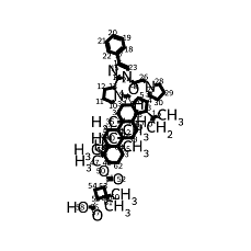 C=C(C)[C@@H]1CC[C@]2(C(=O)N3CCC[C@H]3c3nc(-c4ccccc4)cn3CCN3CCCC3)CC[C@]3(C)[C@H](CC[C@@]4(C)[C@@]3(C)CC[C@H]3C(C)(C)[C@@H](OC(=O)[C@H]5C[C@@H](C(=O)O)C5(C)C)CC[C@@]34C)[C@@H]12